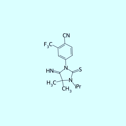 CC(C)N1C(=S)N(c2ccc(C#N)c(C(F)(F)F)c2)C(=N)C1(C)C